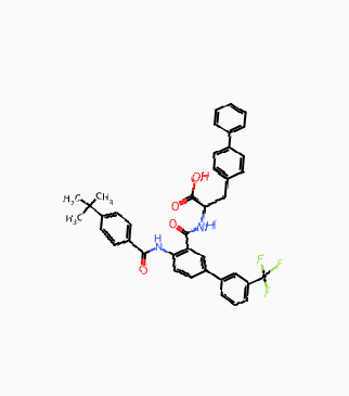 CC(C)(C)c1ccc(C(=O)Nc2ccc(-c3cccc(C(F)(F)F)c3)cc2C(=O)NC(Cc2ccc(-c3ccccc3)cc2)C(=O)O)cc1